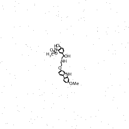 COc1ccc2c(c1)[nH]c1cc(OCCNC[C@@H](O)c3ccc(Cl)c(NS(C)(=O)=O)c3)ccc12